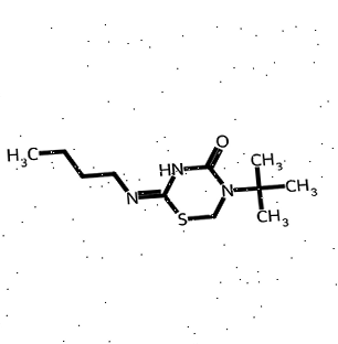 CCCCN=C1NC(=O)N(C(C)(C)C)CS1